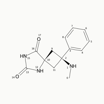 CN[C@]1(c2ccccc2)C[C@@]2(C1)NC(=O)NC2=O